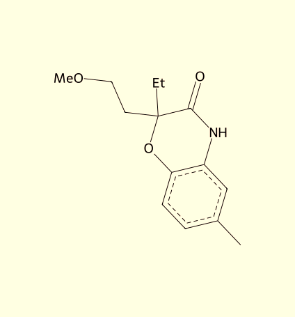 CCC1(CCOC)Oc2ccc(C)cc2NC1=O